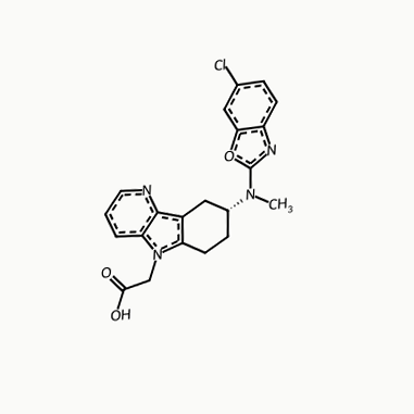 CN(c1nc2ccc(Cl)cc2o1)[C@@H]1CCc2c(c3ncccc3n2CC(=O)O)C1